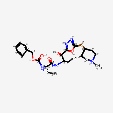 CC(C)CC(NC(=O)[C@H](CC(C)C)NC(=O)OCc1ccccc1)C(=O)c1nnc(SC2CCN(C)CC2)o1